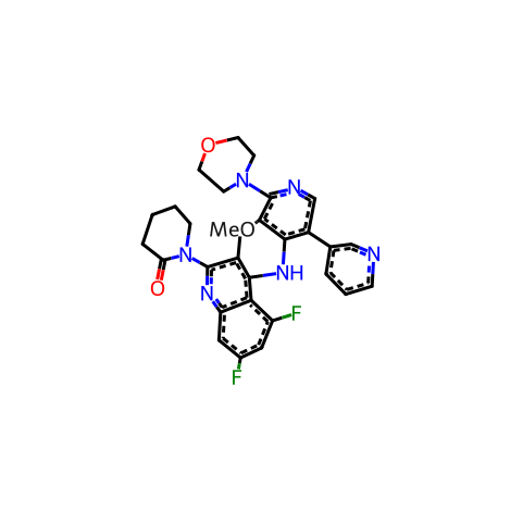 COc1c(N2CCOCC2)ncc(-c2cccnc2)c1Nc1c(C)c(N2CCCCC2=O)nc2cc(F)cc(F)c12